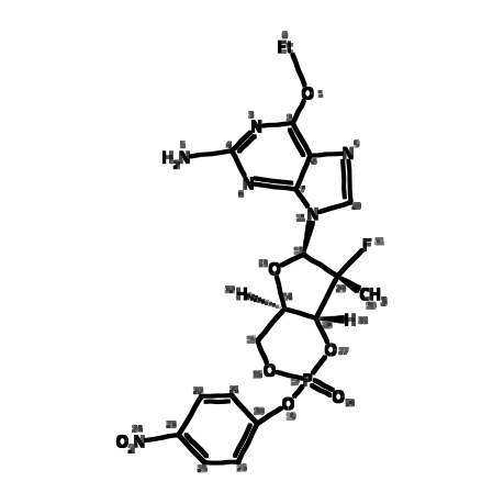 CCOc1nc(N)nc2c1ncn2[C@@H]1O[C@@H]2COP(=O)(Oc3ccc([N+](=O)[O-])cc3)O[C@H]2[C@@]1(C)F